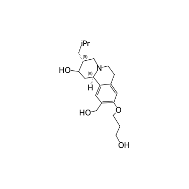 CC(C)C[C@@H]1CN2CCc3cc(OCCCO)c(CO)cc3[C@H]2CC1O